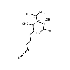 CCC(O)[C@@H](O)[C@@H]([C@@H](C)N)N(C=O)CCCCN=[N+]=[N-]